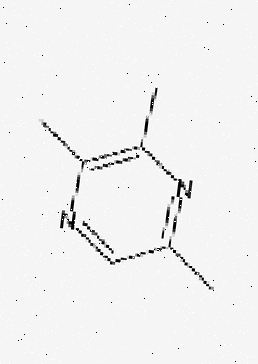 Cc1cnc(C)c(C)n1